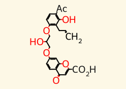 C=CCc1c(OCC(O)COc2ccc3c(=O)cc(C(=O)O)oc3c2)ccc(C(C)=O)c1O